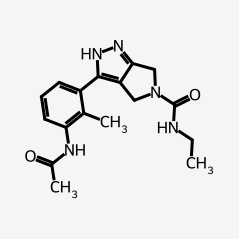 CCNC(=O)N1Cc2n[nH]c(-c3cccc(NC(C)=O)c3C)c2C1